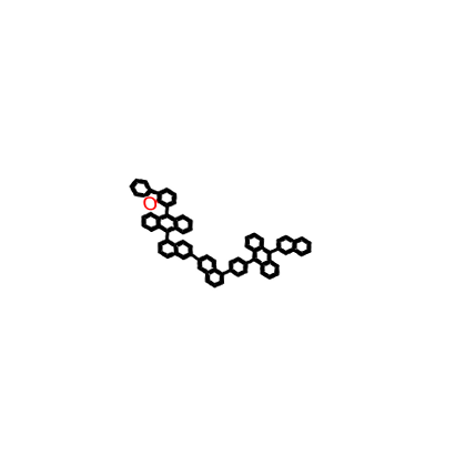 c1ccc2cc(-c3c4ccccc4c(-c4ccc(-c5cccc6cc(-c7ccc8c(-c9c%10ccccc%10c(-c%10cccc%11c%10oc%10ccccc%10%11)c%10ccccc9%10)cccc8c7)ccc56)cc4)c4ccccc34)ccc2c1